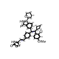 COc1ccc(/C(=C(\c2ccc(/C=C/c3noc(=O)[nH]3)cc2)c2ccc3c(c2)C(F)NN3C2CCCCO2)C2CCC2)c(Cl)c1